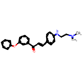 CN(C)CCNc1ccc(/C=C/C(=O)c2cccc(Oc3ccccc3)c2)cc1